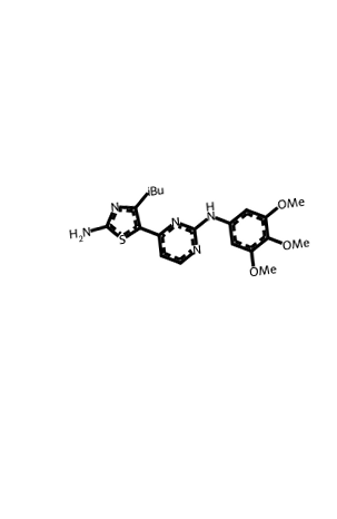 CCC(C)c1nc(N)sc1-c1ccnc(Nc2cc(OC)c(OC)c(OC)c2)n1